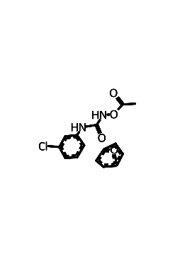 CC(=O)ONC(=O)Nc1cccc(Cl)c1.c1cc2ccc1o2